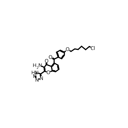 Nc1c(-c2nnn[nH]2)oc2cccc(C(=O)c3ccc(OCCCCCCCl)cc3)c2c1=O